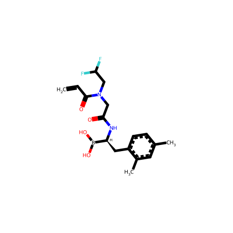 C=CC(=O)N(CC(=O)N[C@@H](Cc1ccc(C)cc1C)B(O)O)CC(F)F